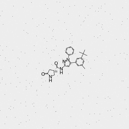 Cc1cc(-c2cc(NC(=O)[C@@H]3CNC(=O)C3)nn2-c2ccccc2)cc(C(C)(C)C)c1